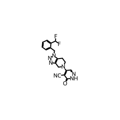 N#Cc1c(N2CCc3c(nnn3Cc3ccccc3C(F)F)C2)cn[nH]c1=O